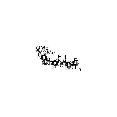 COCCOc1cc2ncnc(Oc3cccc(NC(=O)Nc4cc(C(C)(CF)CF)on4)c3)c2cc1OC